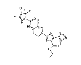 Bc1c(C)[nH]c(C(=O)N[C@@H]2CCN(c3nc(-c4ncnn4C)c(C(=O)OCC)s3)C[C@@H]2F)c1Cl